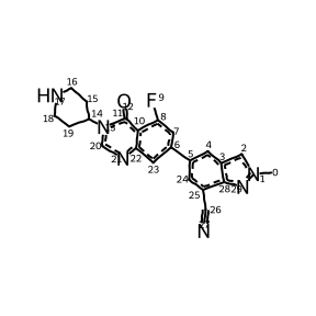 Cn1cc2cc(-c3cc(F)c4c(=O)n(C5CCNCC5)cnc4c3)cc(C#N)c2n1